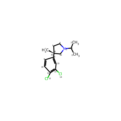 CC(C)N1CC[C@@](C)(c2ccc(Cl)c(Cl)c2)C1